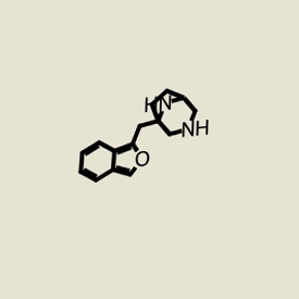 c1ccc2c(CC34CCC(CNC3)N4)occ2c1